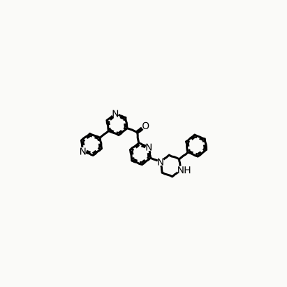 O=C(c1cncc(-c2ccncc2)c1)c1cccc(N2CCNC(c3ccccc3)C2)n1